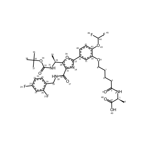 C[C@H](NC(=O)CCCCOc1cc(-c2nc(C(=O)NCc3ccc(F)cc3F)c([C@H](C)NC(=O)OC(C)(C)C)o2)ccc1OC(F)F)C(=O)O